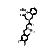 CCCCN1C(=O)CN(C(=O)C[C@H](N)Cc2cc(F)c(F)cc2F)Cc2ccccc21